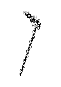 CCCOCCOCCOCCOCCOCCOCCOCCOCCOCCC(=O)NC(C(=O)NCC(=O)Nc1ccc(CN)cc1)C(C)C